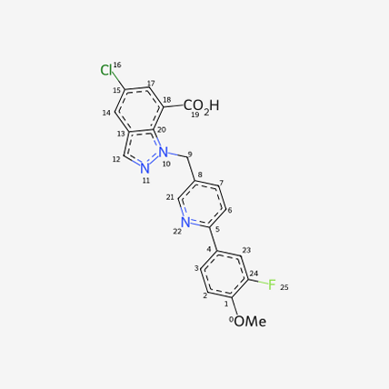 COc1ccc(-c2ccc(Cn3ncc4cc(Cl)cc(C(=O)O)c43)cn2)cc1F